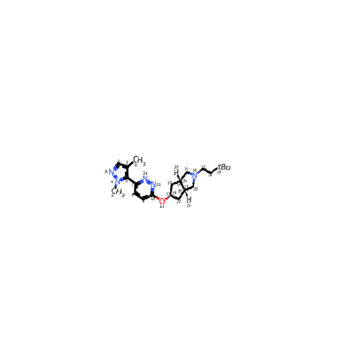 Cc1cnn(C)c1-c1ccc(O[C@H]2C[C@@H]3CN(CCC(C)(C)C)C[C@@H]3C2)nn1